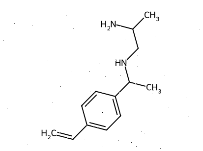 C=Cc1ccc(C(C)NCC(C)N)cc1